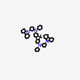 CC1(C)c2cc(N(c3ccccc3)c3cccc(-n4c5ccccc5c5ccccc54)c3)ccc2-c2ccc(N(c3ccccc3)c3cccc(-n4c5ccccc5c5ccccc54)c3)cc21